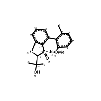 COc1cccc(C)c1-c1cccc2c1[P@](=O)(C(C)(C)C)[C@@H](C(C)(C)O)O2